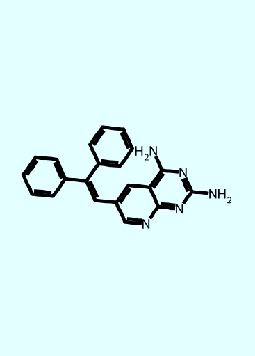 Nc1nc(N)c2cc(C=C(c3ccccc3)c3ccccc3)cnc2n1